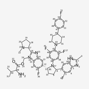 Cc1nc2cc(F)c(C3CC[C@H](c4cc5nc(C6CCCN6C)n(COC(=O)C(N)C(C)C)c5cc4F)N3c3cc(F)c(N4CCC(c5ccc(F)cc5)CC4)c(F)c3)cc2[nH]1